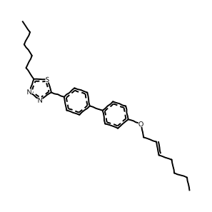 CCCCC=CCOc1ccc(-c2ccc(-c3nnc(CCCCC)s3)cc2)cc1